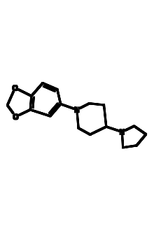 c1cc2c(cc1N1CCC(N3CCCC3)CC1)OCO2